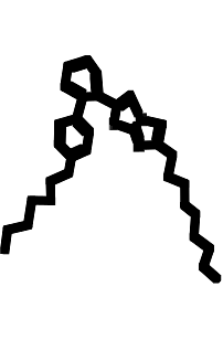 CCCCCCCCCc1cn2cc(-c3ccccc3-c3ccc(CCCCCCC)cc3)sc2n1